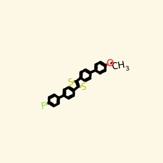 COc1ccc(-c2ccc3c(c2)sc2c4ccc(-c5ccc(F)cc5)cc4sc32)cc1